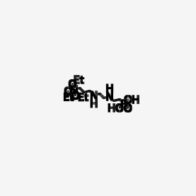 CCO[Si](CCCNCCNCCP(=O)(O)O)(OCC)OCC